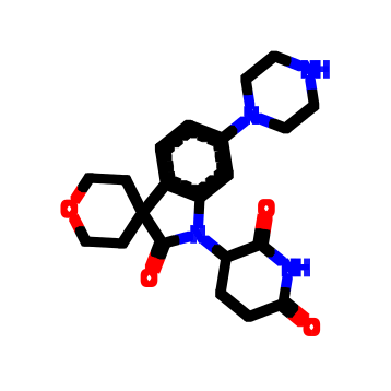 O=C1CCC(N2C(=O)C3(CCOCC3)c3ccc(N4CCNCC4)cc32)C(=O)N1